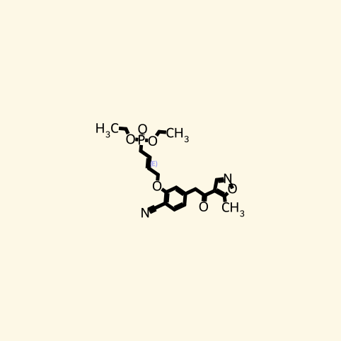 CCOP(=O)(C/C=C/COc1cc(CC(=O)c2cnoc2C)ccc1C#N)OCC